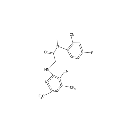 CN(C(=O)CNc1nc(C(F)(F)F)cc(C(F)(F)F)c1C#N)c1ccc(F)cc1C#N